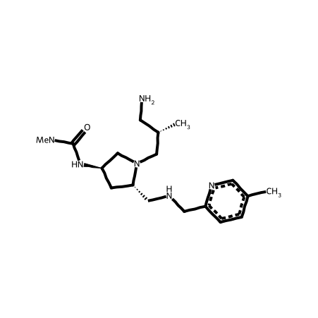 CNC(=O)N[C@@H]1C[C@@H](CNCc2ccc(C)cn2)N(C[C@@H](C)CN)C1